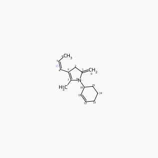 C=C1CC(/C=C\C)=C(C)N1C1C=CCCC1